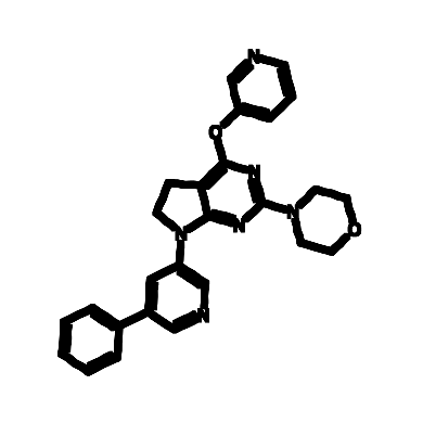 c1ccc(-c2cncc(N3CCc4c(Oc5cccnc5)nc(N5CCOCC5)nc43)c2)cc1